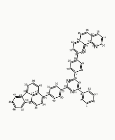 c1ccc(-c2cc(-c3ccc(-c4ccc5ccc6cccnc6c5n4)cc3)nc(-c3ccc(-c4ccc5c6c(cccc46)-c4ccccc4-5)cc3)n2)cc1